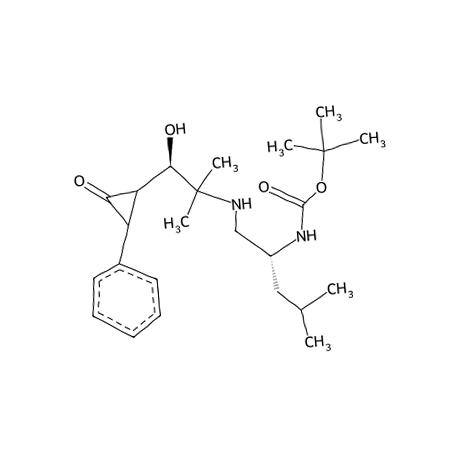 CC(C)C[C@H](CNC(C)(C)[C@H](O)C1C(=O)C1c1ccccc1)NC(=O)OC(C)(C)C